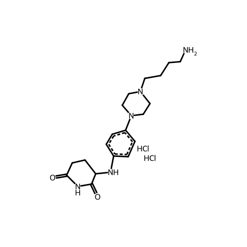 Cl.Cl.NCCCCN1CCN(c2ccc(NC3CCC(=O)NC3=O)cc2)CC1